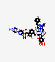 C=CCN1CC(=O)N2C(CN(Cc3cccc4c(C(=O)Nc5ccc(N6CCNCC6)nc5)cn(C)c34)C(=O)[C@@H]2Cc2ccc(O)cc2)N1C(=O)NCc1ccccc1